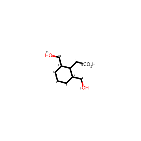 O=C(O)CC1C(CO)C[CH]CC1CO